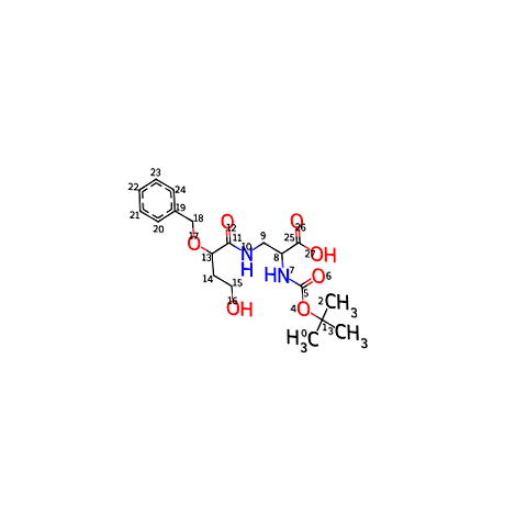 CC(C)(C)OC(=O)NC(CNC(=O)C(CCO)OCc1ccccc1)C(=O)O